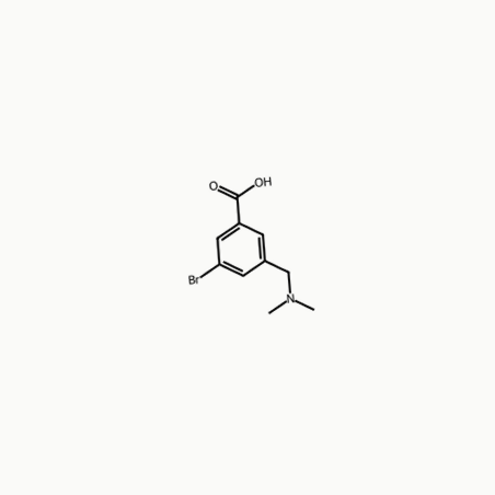 CN(C)Cc1cc(Br)cc(C(=O)O)c1